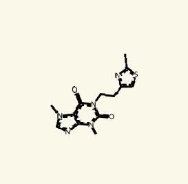 Cc1nc(CCn2c(=O)c3c(ncn3C)n(C)c2=O)cs1